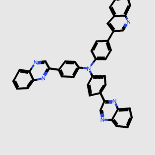 c1ccc2ncc(-c3ccc(N(c4ccc(-c5cnc6ccccc6n5)cc4)c4ccc(-c5cnc6ccccc6n5)cc4)cc3)cc2c1